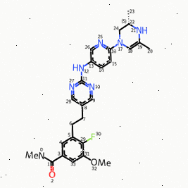 CNC(=O)c1cc(CCc2cnc(Nc3ccc(N4C=C(C)N[C@@H](C)C4)nc3)nc2)c(F)c(OC)c1